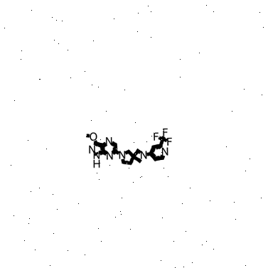 COc1n[nH]c2nc(N3CCC4(CN(c5ccnc(C(F)(F)F)c5)C4)C3)cnc12